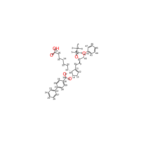 CC(C)(C)[Si](C)(C)O[C@H](CCC1=CC[C@H](OC(=O)c2ccc(-c3ccccc3)cc2)[C@@H]1CCCCCCC(=O)O)COc1ccccc1